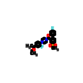 CCOC(C)c1ccc(N2CCN(C(=O)c3cc(S(C)(=O)=O)ccc3-c3ccc(F)cc3)CC2)c(F)c1